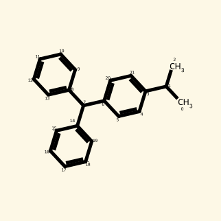 CC(C)c1ccc(C(c2[c]cc[c]c2)c2[c]cc[c]c2)cc1